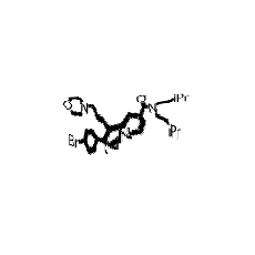 CC(C)CCN(CCC(C)C)C(=O)c1ccn2nc(-c3ccc(Br)cc3)c(/C=C/CN3CCOCC3)c2c1